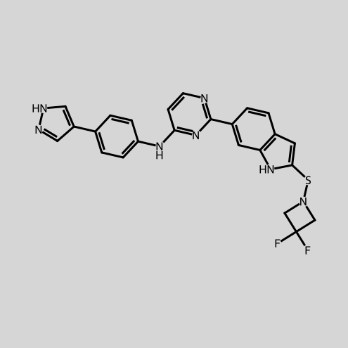 FC1(F)CN(Sc2cc3ccc(-c4nccc(Nc5ccc(-c6cn[nH]c6)cc5)n4)cc3[nH]2)C1